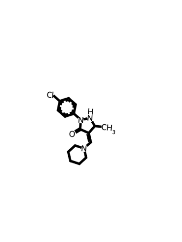 CC1NN(c2ccc(Cl)cc2)C(=O)C1=CN1CCCCC1